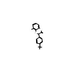 O=C1Nc2cccc(F)c2NC1c1ccc(C(F)(F)F)cc1